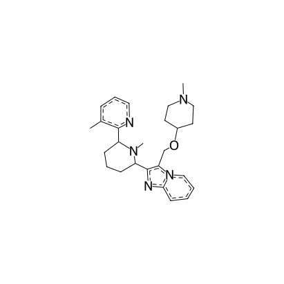 Cc1cccnc1C1CCCC(c2nc3ccccn3c2COC2CCN(C)CC2)N1C